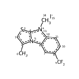 Cc1csc2n1c1cc(C(F)(F)F)ccc1[n+]2C.[I-]